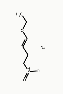 CCON=CCC[PH](=O)[O-].[Na+]